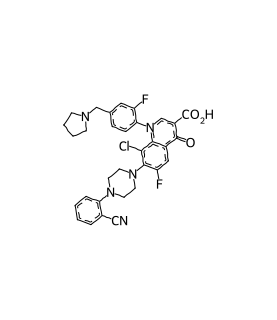 N#Cc1ccccc1N1CCN(c2c(F)cc3c(=O)c(C(=O)O)cn(-c4ccc(CN5CCCC5)cc4F)c3c2Cl)CC1